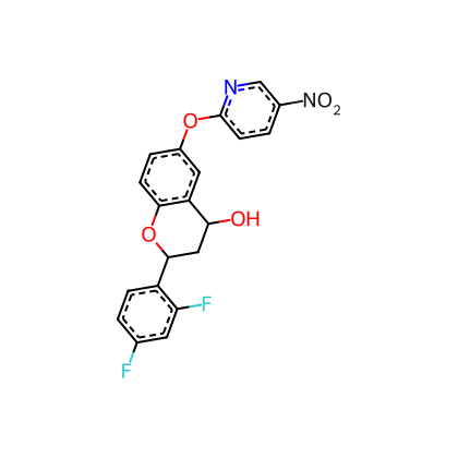 O=[N+]([O-])c1ccc(Oc2ccc3c(c2)C(O)CC(c2ccc(F)cc2F)O3)nc1